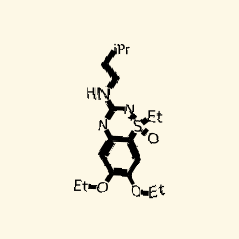 CCOc1cc2c(cc1OCC)S(=O)(CC)=NC(NCCC(C)C)=N2